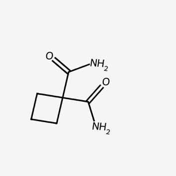 NC(=O)C1(C(N)=O)CCC1